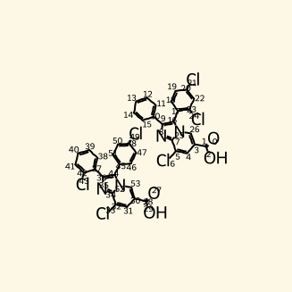 O=C(O)c1cc(Cl)c2nc(-c3ccccc3)c(-c3ccc(Cl)cc3Cl)n2c1.O=C(O)c1cc(Cl)c2nc(-c3ccccc3Cl)c(-c3ccc(Cl)cc3)n2c1